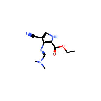 CCOC(=O)c1[nH]cc(C#N)c1N=CN(C)C